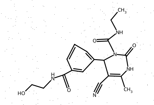 CCNC(=O)N1C(=O)NC(C)=C(C#N)C1c1cccc(C(=O)NCCO)c1